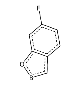 Fc1ccc2cboc2c1